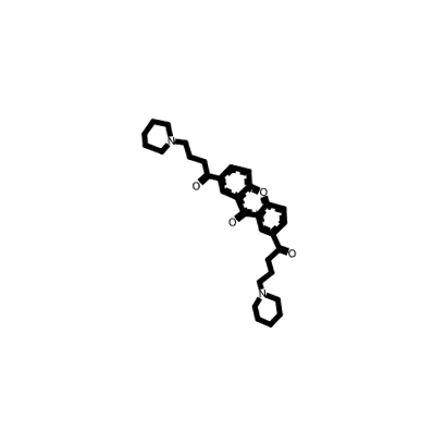 O=C(CCCN1CCCCC1)c1ccc2oc3ccc(C(=O)CCCN4CCCCC4)cc3c(=O)c2c1